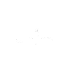 N#CC1C(c2ccccc2)CSC1[N+](=O)[O-]